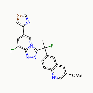 COc1cnc2ccc(C(C)(F)c3nnc4c(F)cc(-c5cscn5)cn34)cc2c1